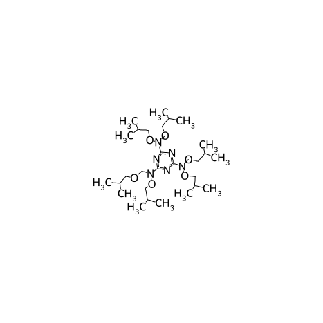 CC(C)COCN(OCC(C)C)c1nc(N(OCC(C)C)OCC(C)C)nc(N(OCC(C)C)OCC(C)C)n1